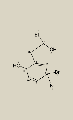 CCC(O)CC1=CC(Br)(Br)C=CC1O